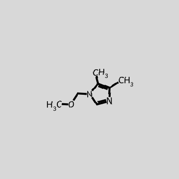 COCn1cnc(C)c1C